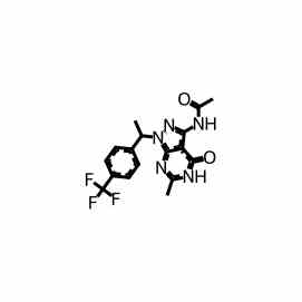 CC(=O)Nc1nn(C(C)c2ccc(C(F)(F)F)cc2)c2nc(C)[nH]c(=O)c12